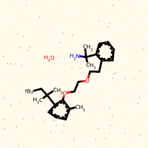 Cc1cccc(C(C)(C)CC(C)(C)C)c1OCCOCCc1ccccc1C(C)(C)N.O